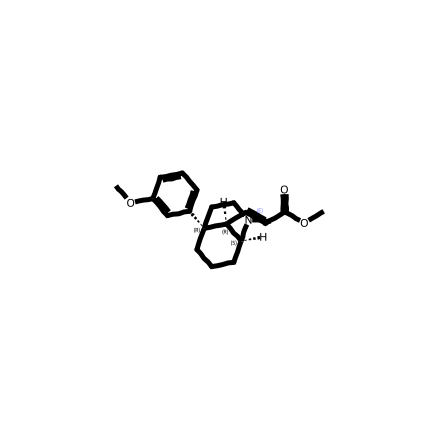 COC(=O)/C=C/[C@H]1[C@@H]2CCC[C@@]1(c1cccc(OC)c1)CCN2C